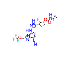 CC1(NC(=O)O[C@@H]2CC[C@H](c3cc(Nc4ncc(C#N)c5nc(COC(F)(F)F)cn45)n[nH]3)[C@H]2F)CC1